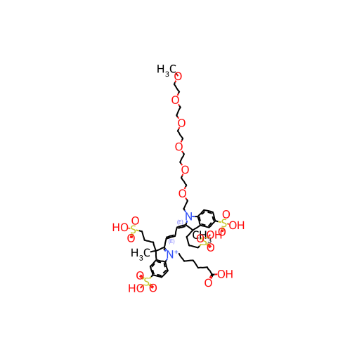 COCCOCCOCCOCCOCCOCCN1/C(=C/C=C/C2=[N+](CCCCCC(=O)O)c3ccc(S(=O)(=O)O)cc3C2(C)CCCS(=O)(=O)O)C(C)(CCCS(=O)(=O)O)c2cc(S(=O)(=O)O)ccc21